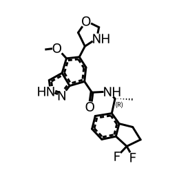 COc1c(C2COCN2)cc(C(=O)N[C@H](C)c2cccc3c2CCC3(F)F)c2n[nH]cc12